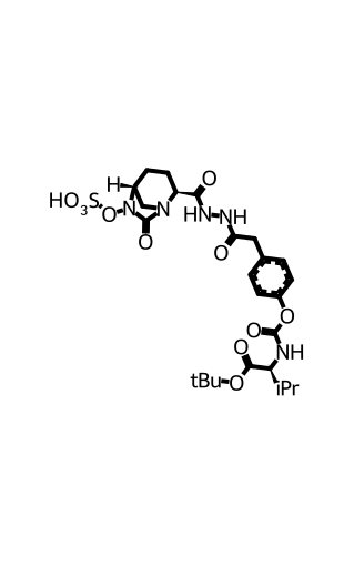 CC(C)[C@H](NC(=O)Oc1ccc(CC(=O)NNC(=O)[C@@H]2CC[C@@H]3CN2C(=O)N3OS(=O)(=O)O)cc1)C(=O)OC(C)(C)C